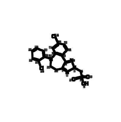 O=S(=O)(O)Cn1nc2c(n1)-c1ccc(Cl)cc1N(c1ccccc1Cl)CC2